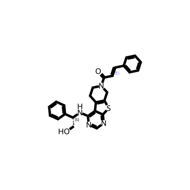 O=C(/C=C/c1ccccc1)N1CCc2c(sc3ncnc(N[C@H](CO)c4ccccc4)c23)C1